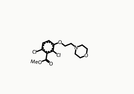 COC(=O)c1c(Cl)ccc(OCCN2CCOCC2)c1Cl